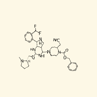 CN1CCC[C@H]1COC1NC2C(c3ccccc3C(F)F)NCC2C(N2CCN(C(=O)OCc3ccccc3)C(CC#N)C2)N1